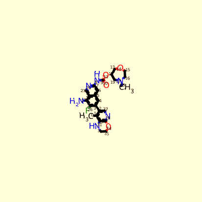 Cc1c(-c2cc3cc(NC(=O)O[C@@H]4COCCN(C)C4)ncc3c(N)c2F)cnc2c1NCCO2